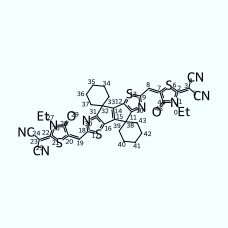 CCn1c(=C(C#N)C#N)s/c(=C/c2nc3c(s2)C2=C(c4sc(/C=c5/sc(=C(C#N)C#N)n(CC)c5=O)nc4C24CCCCC4)C32CCCCC2)c1=O